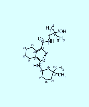 CC(C)(O)CNC(=O)c1cnc(NC2CCCC(C)(C)C2)c2c1CCCC2